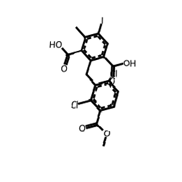 COC(=O)c1ccc(Cl)c(Cc2c(C(=O)O)cc(I)c(C)c2C(=O)O)c1Cl